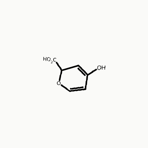 O=C(O)C1C=C(O)C=CO1